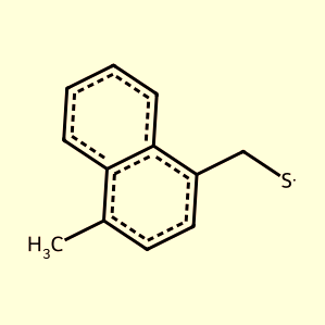 Cc1ccc(C[S])c2ccccc12